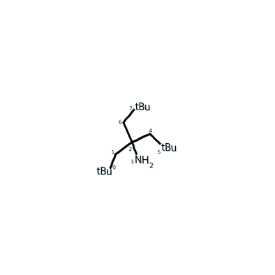 CC(C)(C)CC(N)(CC(C)(C)C)CC(C)(C)C